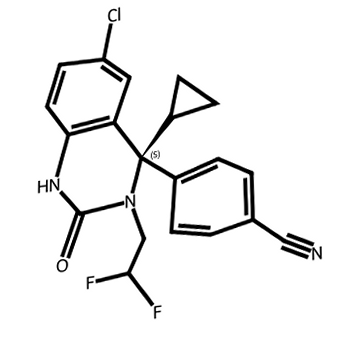 N#Cc1ccc([C@@]2(C3CC3)c3cc(Cl)ccc3NC(=O)N2CC(F)F)cc1